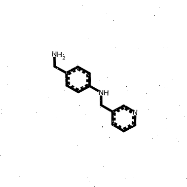 NCc1ccc(NCc2cccnc2)cc1